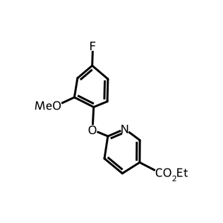 CCOC(=O)c1ccc(Oc2ccc(F)cc2OC)nc1